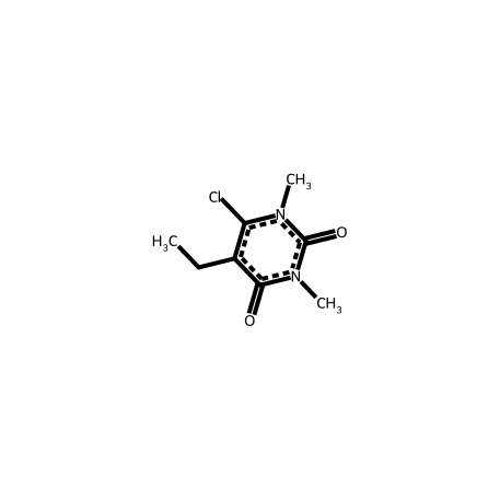 CCc1c(Cl)n(C)c(=O)n(C)c1=O